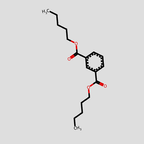 CCCCCOC(=O)c1cccc(C(=O)OCCCCC)c1